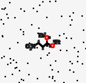 CCOC(CC[N+](=O)[O-])OCC